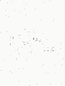 CCOC(=O)CN1C(=O)OB2OCc3cccc1c32